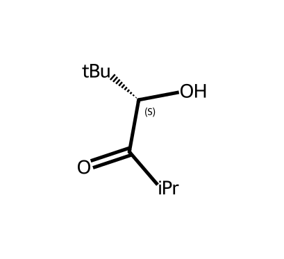 CC(C)C(=O)[C@@H](O)C(C)(C)C